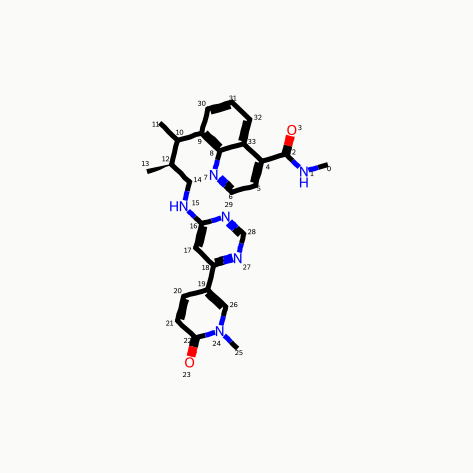 CNC(=O)c1ccnc2c(C(C)[C@H](C)CNc3cc(-c4ccc(=O)n(C)c4)ncn3)cccc12